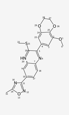 COc1cc(C(=Nc2ccc(-c3noc(C)n3)cc2)C(=N)SC)cc2c1OCCO2